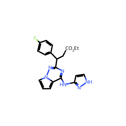 CCOC(=O)CC(c1ccc(F)cc1)c1nc(Nc2cc[nH]n2)c2cccn2n1